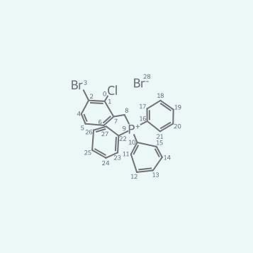 Clc1c(Br)cccc1C[P+](c1ccccc1)(c1ccccc1)c1ccccc1.[Br-]